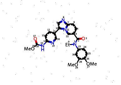 CCN(C(=O)c1ccc2ncc(-c3ccc(NC(=O)OC)nc3)n2c1)c1ccc(OC)c(OC)c1